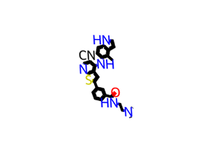 Cc1c(Nc2c(C#N)cnc3sc(-c4cccc(C(=O)NCCN(C)C)c4)cc23)ccc2[nH]ccc12